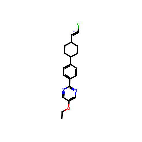 CCOc1cnc(-c2ccc(C3CCC(/C=C/Cl)CC3)cc2)nc1